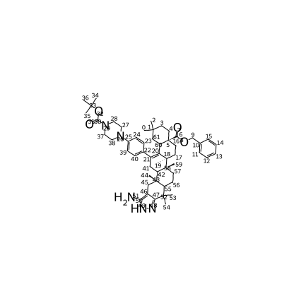 CC1(C)CC[C@]2(C(=O)OCc3ccccc3)CC[C@]3(C)C(=C(c4ccc(N5CCN(C(=O)OC(C)(C)C)CC5)cc4)CC4[C@@]5(C)Cc6c(n[nH]c6N)C(C)(C)C5CC[C@]43C)C2C1